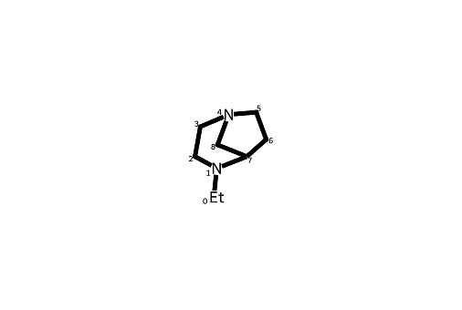 CCN1CCN2CCC1C2